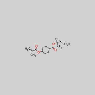 C=C(C)C(=O)OC1CCC(C(=O)OC(CS(=O)(=O)O)(C(F)(F)F)C(F)(F)F)CC1